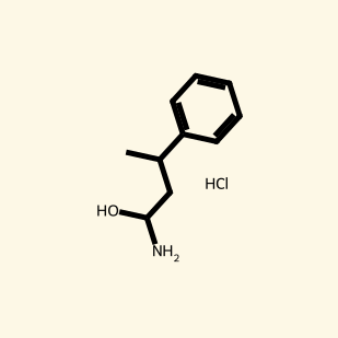 CC(CC(N)O)c1ccccc1.Cl